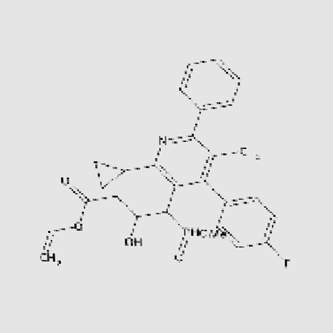 C=COC(=O)CC(O)C(c1c(C2CC2)nc(-c2ccccc2)c(C)c1-c1ccc(F)cc1)[PH](=O)OC